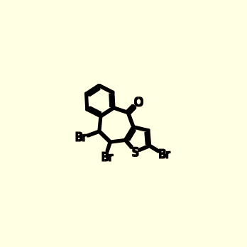 O=C1c2ccccc2C(Br)C(Br)c2sc(Br)cc21